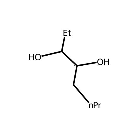 CCCC[C](O)C(O)CC